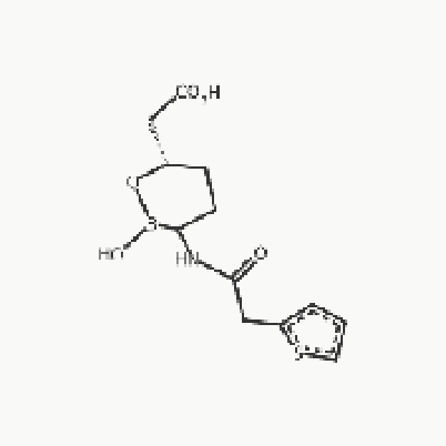 O=C(O)C[C@@H]1CCC(NC(=O)Cc2cccs2)B(O)O1